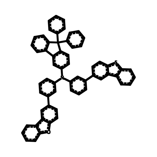 c1ccc(C2(c3ccccc3)c3ccccc3-c3cc(N(c4cccc(-c5ccc6oc7ccccc7c6c5)c4)c4cccc(-c5ccc6sc7ccccc7c6c5)c4)ccc32)cc1